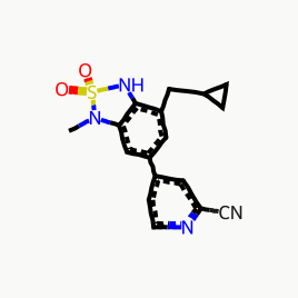 CN1c2cc(-c3ccnc(C#N)c3)cc(CC3CC3)c2NS1(=O)=O